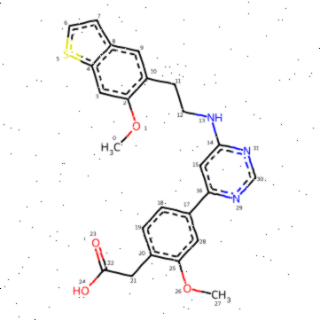 COc1cc2sccc2cc1CCNc1cc(-c2ccc(CC(=O)O)c(OC)c2)ncn1